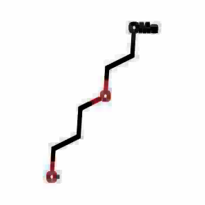 COCCOCCC[O]